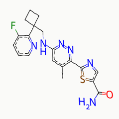 Cc1cc(NCC2(c3ncccc3F)CCC2)nnc1-c1ncc(C(N)=O)s1